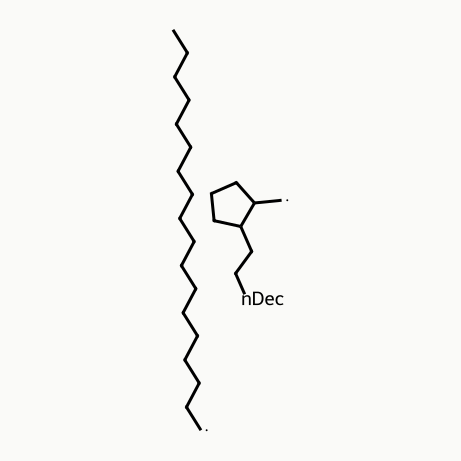 [CH2]C1CCCC1CCCCCCCCCCCC.[CH2]CCCCCCCCCCCCCCCCC